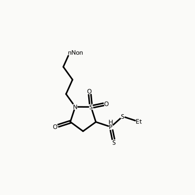 CCCCCCCCCCCCN1C(=O)CC([PH](=S)SCC)S1(=O)=O